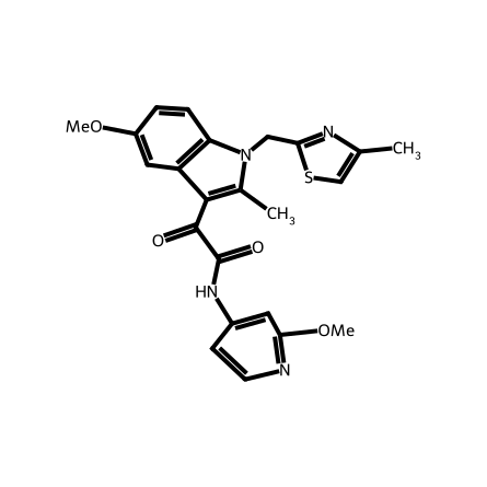 COc1ccc2c(c1)c(C(=O)C(=O)Nc1ccnc(OC)c1)c(C)n2Cc1nc(C)cs1